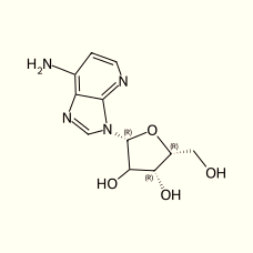 Nc1ccnc2c1ncn2[C@@H]1O[C@H](CO)[C@H](O)C1O